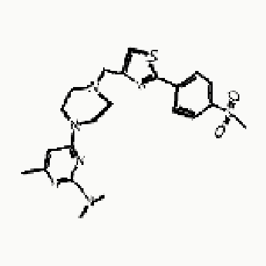 Cc1cc(N2CCN(Cc3csc(-c4ccc(S(C)(=O)=O)cc4)n3)CC2)nc(N(C)C)n1